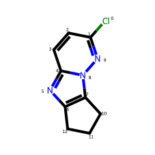 Clc1ccc2nc3c(n2n1)CCC3